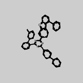 Cc1cccc(-c2ccccc2-c2nc(-c3ccc(-c4ccccc4)cc3)nc(-c3ccc4c(c3)oc3cccc(-c5ccccc5)c34)n2)c1